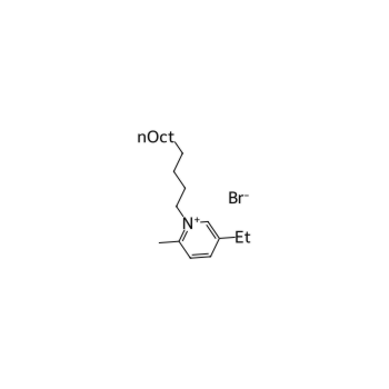 CCCCCCCCCCCC[n+]1cc(CC)ccc1C.[Br-]